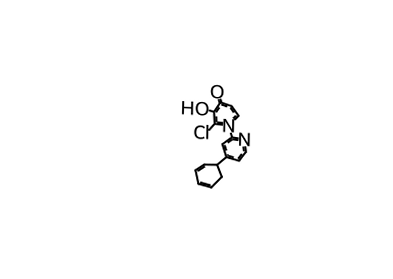 O=c1ccn(-c2cc(C3C=CC=CC3)ccn2)c(Cl)c1O